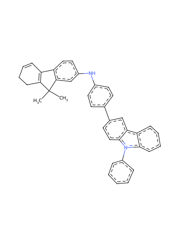 CC1(C)C2=C(C=CCC2)c2ccc(Nc3ccc(-c4ccc5c(c4)c4ccccc4n5-c4ccccc4)cc3)cc21